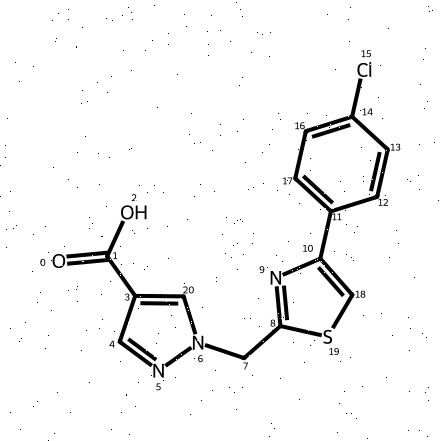 O=C(O)c1cnn(Cc2nc(-c3ccc(Cl)cc3)cs2)c1